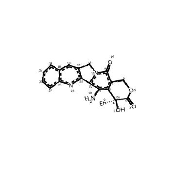 CC[C@@]1(O)C(=O)OCc2c1c(N)c1n(c2=O)Cc2cc3ccccc3nc2-1